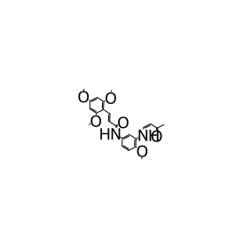 COc1cc(OC)c(/C=C/C(=O)Nc2ccc(OC)c(N/C=C\C(C)=O)c2)c(OC)c1